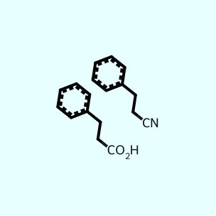 N#CCCc1ccccc1.O=C(O)CCc1ccccc1